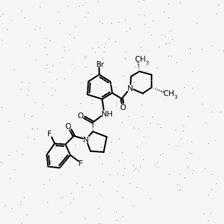 C[C@@H]1C[C@H](C)CN(C(=O)c2cc(Br)ccc2NC(=O)[C@@H]2CCCN2C(=O)c2c(F)cccc2F)C1